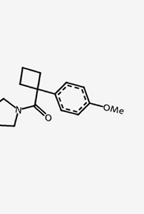 COc1ccc(C2(C(=O)N3CCCC3)CCC2)cc1